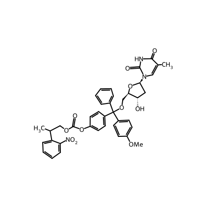 COc1ccc(C(OC[C@H]2O[C@@H](n3cc(C)c(=O)[nH]c3=O)C[C@@H]2O)(c2ccccc2)c2ccc(OC(=O)OCC(C)c3ccccc3[N+](=O)[O-])cc2)cc1